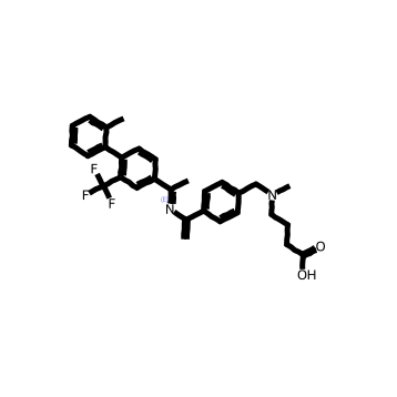 C=C(/N=C(\C)c1ccc(-c2ccccc2C)c(C(F)(F)F)c1)c1ccc(CN(C)CCCC(=O)O)cc1